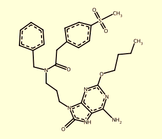 CCCCOc1nc(N)c2[nH]c(=O)n(CCCN(Cc3ccccc3)C(=O)Cc3ccc(S(C)(=O)=O)cc3)c2n1